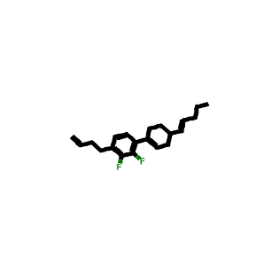 C=CCCc1ccc(C2=CCC(/C=C/CCC)CC2)c(F)c1F